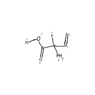 C=CC(F)(P)C(=O)OCC